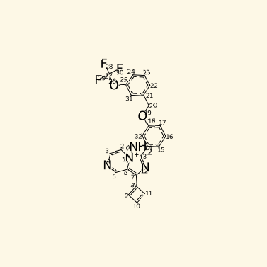 N[N+]12C=CN=CC1=C(C1=CC=C1)N=C2c1cccc(OCc2cccc(OC(F)(F)F)c2)c1